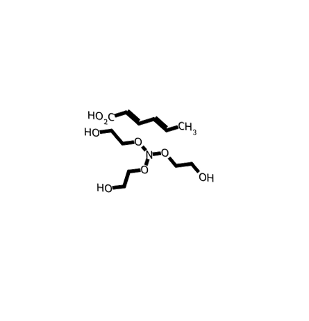 CC=CC=CC(=O)O.OCCON(OCCO)OCCO